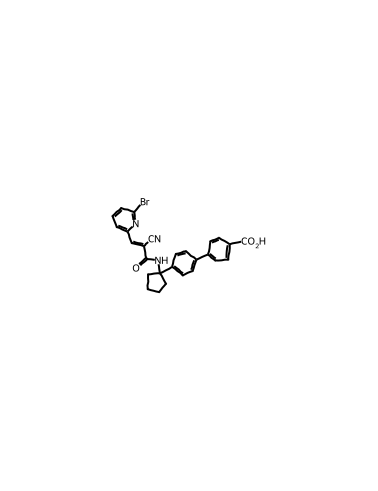 N#C/C(=C\c1cccc(Br)n1)C(=O)NC1(c2ccc(-c3ccc(C(=O)O)cc3)cc2)CCCC1